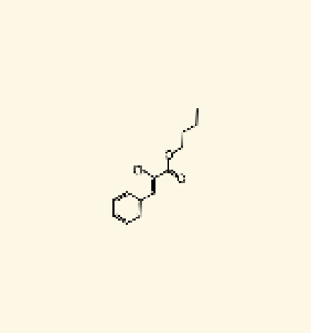 CCCCOC(=O)/C(Cl)=C/c1ccccc1